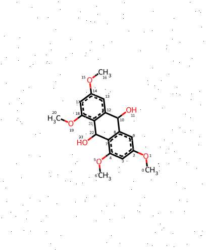 COc1cc(OC)c2c(c1)C(O)c1cc(OC)cc(OC)c1C2O